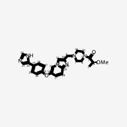 CO[C@@H](C)C(=O)N1CCN(Cc2cn3cc(Oc4ccc(-c5cnc[nH]5)cc4)ccc3n2)CC1